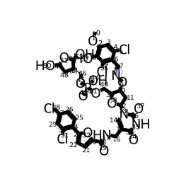 COc1cc(Cl)c(/C=N/OC2CC(n3cc(CNC(=O)c4ccc(-c5ccc(Cl)cc5Cl)o4)c(=O)[nH]c3=O)OC2COP(=O)(O)OC[C@@H]2CC(O)OC2O)c(Cl)c1O